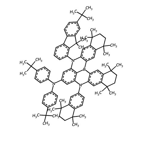 CC(C)(C)c1ccc(N(c2ccc(C(C)(C)C)cc2)c2cc3c4c(c2)N(c2cccc5c2C(C)(C)c2cc(C(C)(C)C)ccc2-5)c2cc5c(cc2B4c2cc4c(cc2N3c2ccc3c(c2)C(C)(C)CCC3(C)C)C(C)(C)CCC4(C)C)C(C)(C)CCC5(C)C)cc1